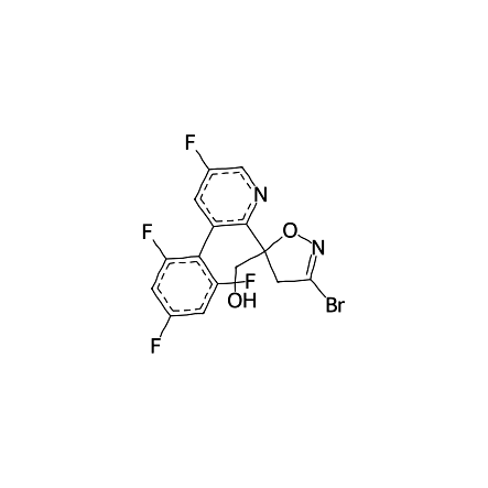 OCC1(c2ncc(F)cc2-c2c(F)cc(F)cc2F)CC(Br)=NO1